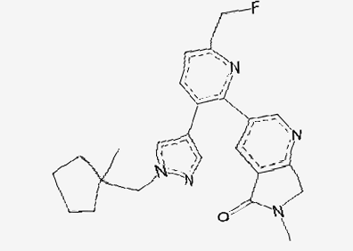 CN1Cc2ncc(-c3nc(CF)ccc3-c3cnn(CC4(C)CCCC4)c3)cc2C1=O